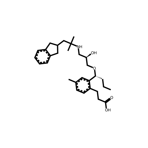 CCC[C@@H](OC[C@H](O)CNC(C)(C)CC1Cc2ccccc2C1)c1cc(C)ccc1CCC(=O)O